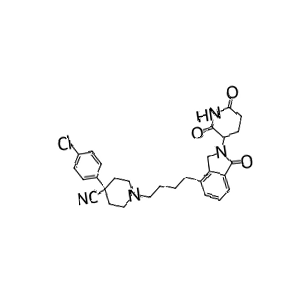 N#CC1(c2ccc(Cl)cc2)CCN(CCCCc2cccc3c2CN(C2CCC(=O)NC2=O)C3=O)CC1